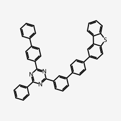 c1ccc(-c2ccc(-c3nc(-c4ccccc4)nc(-c4cccc(-c5ccc(-c6ccc7sc8ccccc8c7c6)cc5)c4)n3)cc2)cc1